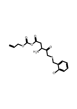 C=CCOC(=O)OC(=O)CC(N)C(=O)CSCc1ccccc1Cl